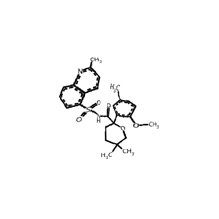 COc1ccc(C)cc1C1(C(=O)NS(=O)(=O)c2cccc3nc(C)ccc23)CCC(C)(C)CO1